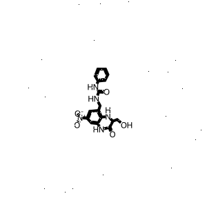 O=C(NCc1cc([N+](=O)[O-])cc2c1NC(CO)C(=O)N2)Nc1ccccc1